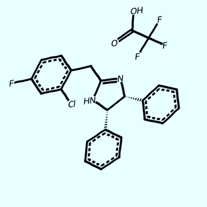 Fc1ccc(CC2=N[C@H](c3ccccc3)[C@H](c3ccccc3)N2)c(Cl)c1.O=C(O)C(F)(F)F